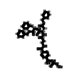 CC(C)(C)OC(=O)NC(=N)c1ccc(C(=O)NCCC(=O)N[C@@H](CC(=O)OCc2ccccc2)C(=O)N[C@@H](Cc2ccccc2)C(=O)OCc2ccccc2)nc1